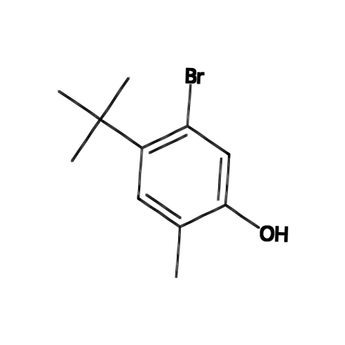 Cc1cc(C(C)(C)C)c(Br)cc1O